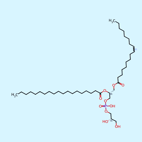 CCCCCCC/C=C\CCCCCCCC(=O)OC[C@H](COP(=O)(O)OC[C@@H](O)CO)OC(=O)CCCCCCCCCCCCCCCCCC